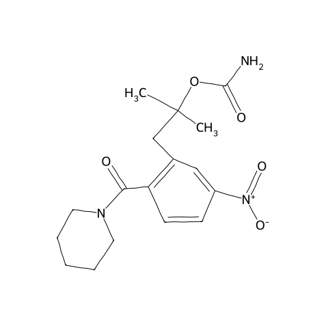 CC(C)(Cc1cc([N+](=O)[O-])ccc1C(=O)N1CCCCC1)OC(N)=O